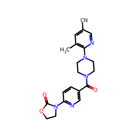 Cc1cc(C#N)cnc1N1CCN(C(=O)c2ccc(N3CCOC3=O)nc2)CC1